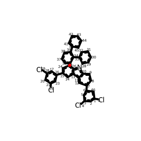 Clc1cc(Cl)cc(-c2ccc3c(c2)c2cc(-c4cc(Cl)cc(Cl)c4)ccc2n3-c2ccccc2-c2ccccc2-c2ccccc2)c1